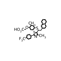 Cc1cc(SC(Cc2ccc3ccccc3c2)c2sc(-c3ccc(C(F)(F)F)cc3)nc2C)ccc1OCC(=O)O